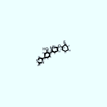 Cc1nc(-c2ccc(-c3ccc(O[C@@H]4CCCC[C@@H]4F)nn3)c(O)c2)cs1